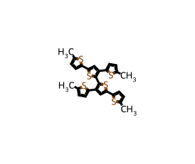 Cc1ccc(-c2cc(-c3ccc(C)s3)c(-c3sc(-c4ccc(C)s4)cc3-c3ccc(C)s3)s2)s1